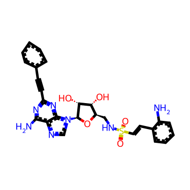 Nc1ccccc1/C=C/S(=O)(=O)NC[C@H]1O[C@@H](n2cnc3c(N)nc(C#Cc4ccccc4)nc32)[C@H](O)[C@@H]1O